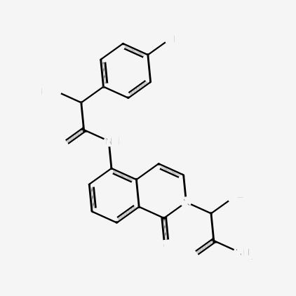 CC(C(=O)Nc1cccc2c(=O)n(C(C)C(N)=O)ccc12)c1ccc(Cl)cc1